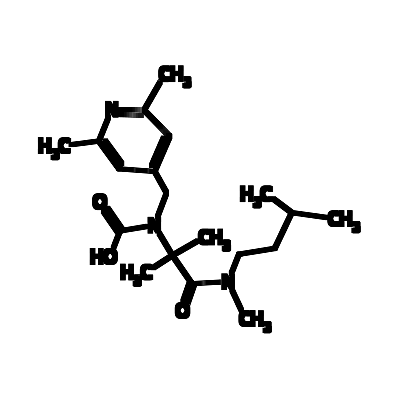 Cc1cc(CN(C(=O)O)C(C)(C)C(=O)N(C)CCC(C)C)cc(C)n1